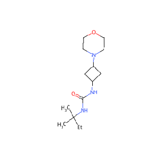 CCC(C)(C)NC(=O)NC1CC(N2CCOCC2)C1